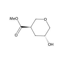 COC(=O)[C@H]1COC[C@H](O)C1